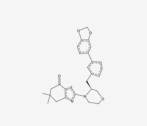 CC1(C)CC(=O)c2sc(N3CCOC[C@@H]3Cc3cccc(-c4ccc5c(c4)OCO5)c3)nc2C1